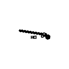 CCCCCCCCCCCCCCCCCC(=O)OC(C)(C)c1ccccc1.Cl